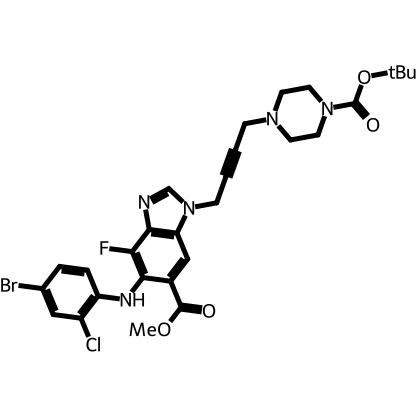 COC(=O)c1cc2c(ncn2CC#CCN2CCN(C(=O)OC(C)(C)C)CC2)c(F)c1Nc1ccc(Br)cc1Cl